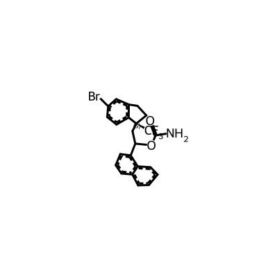 NC(=O)OC(C[C@@]1(C(F)(F)F)CCc2cc(Br)ccc21)c1cccc2ccccc12